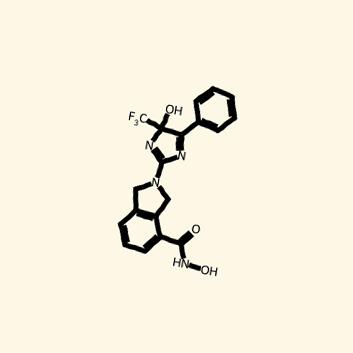 O=C(NO)c1cccc2c1CN(C1=NC(O)(C(F)(F)F)C(c3ccccc3)=N1)C2